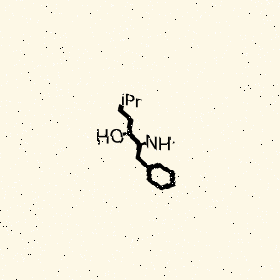 CC(C)CC[C@H](O)[C@@H]([NH])CC1CCCCC1